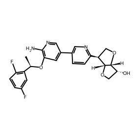 C[C@@H](Oc1cc(-c2ccc([C@H]3CO[C@H]4[C@@H]3OC[C@H]4O)nc2)cnc1N)c1cc(F)ccc1F